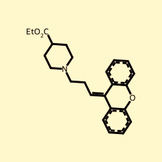 CCOC(=O)C1CCN(CCC=C2c3ccccc3Oc3ccccc32)CC1